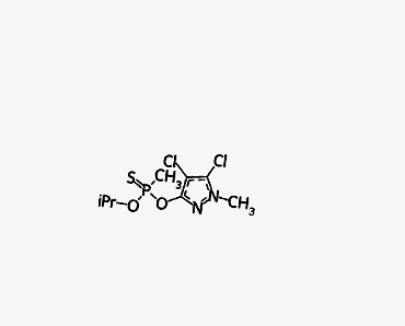 CC(C)OP(C)(=S)Oc1nn(C)c(Cl)c1Cl